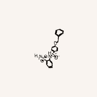 NS(=O)(=O)c1ccccc1N[S+]([O-])c1ccc(OCc2ccccc2)cc1